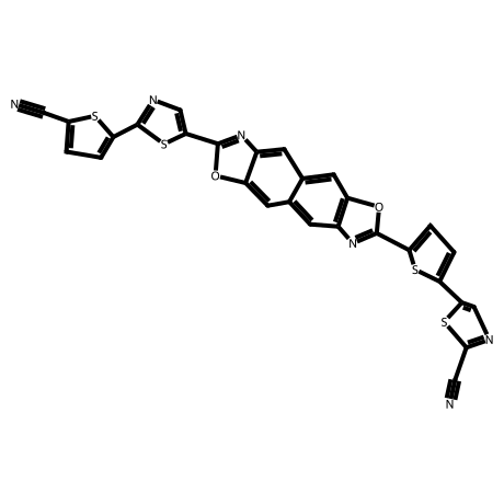 N#Cc1ccc(-c2ncc(-c3nc4cc5cc6oc(-c7ccc(-c8cnc(C#N)s8)s7)nc6cc5cc4o3)s2)s1